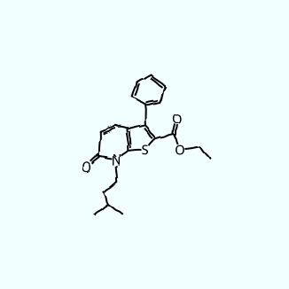 CCOC(=O)c1sc2c(ccc(=O)n2CCC(C)C)c1-c1ccccc1